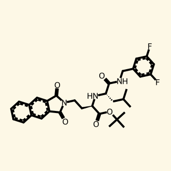 CC(C)C[C@H](N[C@H](CCN1C(=O)c2cc3ccccc3cc2C1=O)C(=O)OC(C)(C)C)C(=O)NCc1cc(F)cc(F)c1